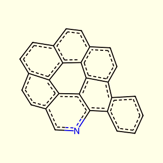 c1ccc2c(c1)c1ccc3ccc4ccc5ccc6cnc2c2c6c5c4c3c12